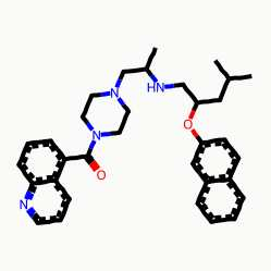 CC(C)CC(CNC(C)CN1CCN(C(=O)c2cccc3ncccc23)CC1)Oc1ccc2ccccc2c1